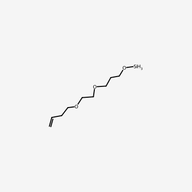 C=CCCOCCOCCCO[SiH3]